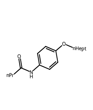 CCCCCCCOc1ccc(NC(=O)CCC)cc1